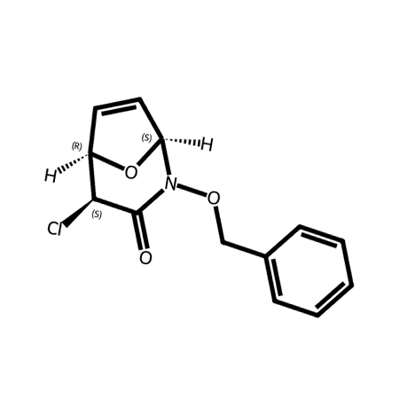 O=C1[C@@H](Cl)[C@H]2C=C[C@H](O2)N1OCc1ccccc1